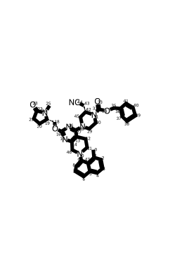 Cc1cccc2cccc(N3CCc4c(nc(OC[C@@H]5CCC(=O)N5C)nc4N4CCN(C(=O)OCc5ccccc5)[C@@H](CC#N)C4)C3)c12